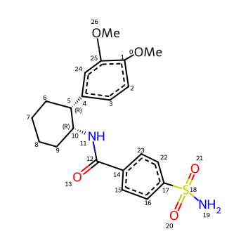 COc1ccc([C@H]2CCCC[C@H]2NC(=O)c2ccc(S(N)(=O)=O)cc2)cc1OC